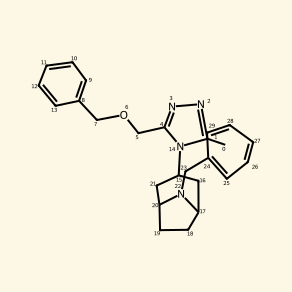 Cc1nnc(COCc2ccccc2)n1C1CC2CCC(C1)N2Cc1ccccc1